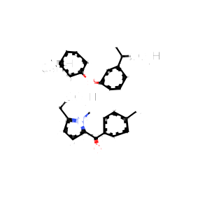 CC(C(=O)O)c1cccc(Oc2ccccc2)c1.Cc1ccc(C(=O)c2ccc(CC(=O)O)n2C)cc1.[CaH2].[NaH]